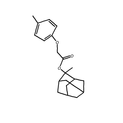 Cc1ccc(OCC(=O)OC2(C)C3CC4CC(C3)CC2C4)cc1